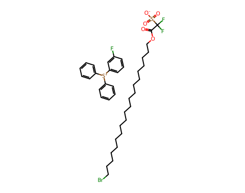 Fc1cccc([S+](c2ccccc2)c2ccccc2)c1.O=C(OCCCCCCCCCCCCCCCCCCCCBr)C(F)(F)S(=O)(=O)[O-]